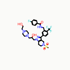 CS(=O)(=O)N1CCc2c(c(-c3ccc(C(F)(F)F)c(CNC(=O)c4ccc(F)cc4)c3)nn2CC(O)CN2CCN(CCO)CC2)C1